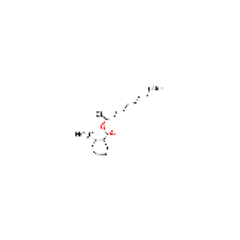 CCCCCCCCCCCCCCCCCC(CC)OC(=O)C1CCCCC1C(=O)O